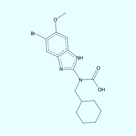 COc1cc2[nH]c(N(CC3CCCCC3)C(=O)O)nc2cc1Br